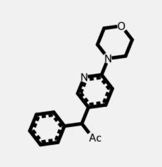 CC(=O)C(c1ccccc1)c1ccc(N2CCOCC2)nc1